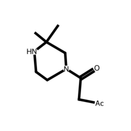 CC(=O)CC(=O)N1CCNC(C)(C)C1